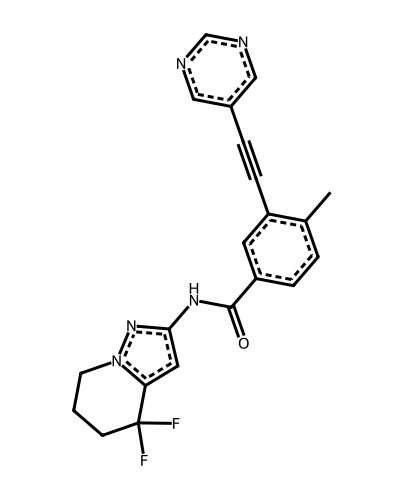 Cc1ccc(C(=O)Nc2cc3n(n2)CCCC3(F)F)cc1C#Cc1cncnc1